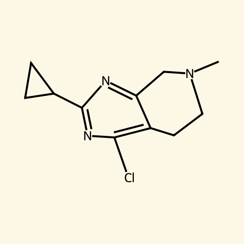 CN1CCc2c(Cl)nc(C3CC3)nc2C1